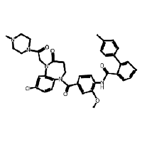 COc1cc(C(=O)N2CCC(=O)N(CC(=O)N3CCN(C)CC3)c3cc(Cl)ccc32)ccc1NC(=O)c1ccccc1-c1ccc(C)cc1